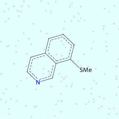 CSc1cccc2ccncc12